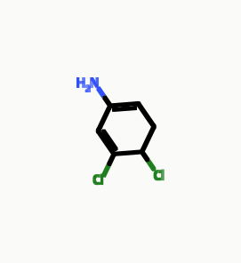 NC1=CCC(Cl)C(Cl)=C1